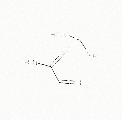 C=CC(N)=O.O=C(O)CS